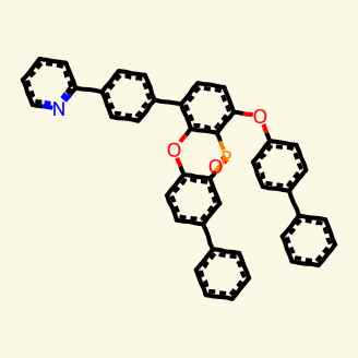 O=[P@]12c3cc(-c4ccccc4)ccc3Oc3ccc(-c4ccc(-c5ccccn5)cc4)c(c31)Oc1ccc(-c3ccccc3)cc12